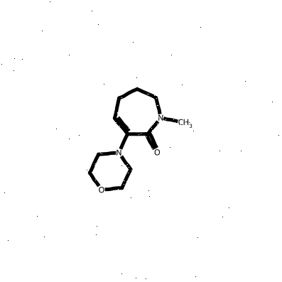 CN1CCCC=C(N2CCOCC2)C1=O